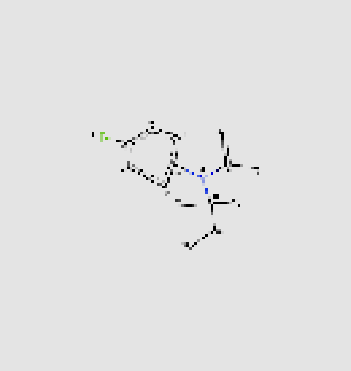 C=C(C)N(c1ccc(F)cc1)C(C)(C)CC